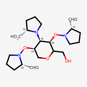 O=C[C@@H]1CCCN1O[C@@H]1COC(CO)[C@H](ON2CCC[C@H]2C=O)[C@@H]1N1CCC[C@H]1C(=O)O